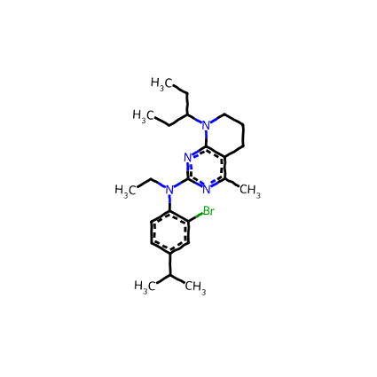 CCC(CC)N1CCCc2c(C)nc(N(CC)c3ccc(C(C)C)cc3Br)nc21